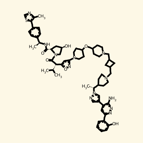 Cc1ncsc1-c1ccc([C@H](C)NC(=O)[C@@H]2C[C@@H](O)CN2C(=O)[C@H](c2cc(N3CCC(OC4CCN(CC5CC(CN6CCC([C@@H](C)n7cc(-c8cc(-c9ccccc9O)nnc8N)cn7)CC6)C5)CC4)CC3)no2)C(C)C)cc1